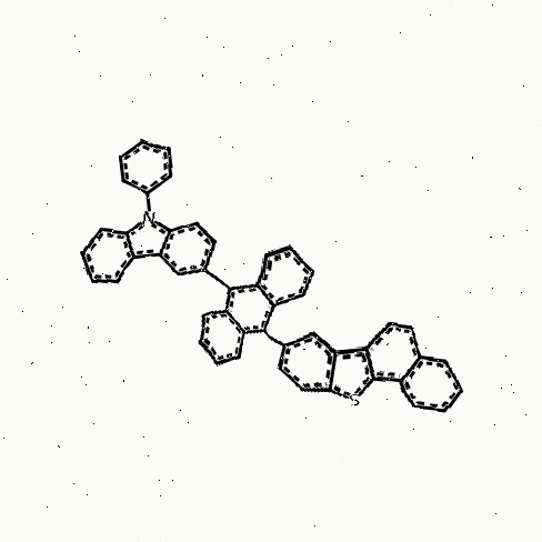 c1ccc(-n2c3ccccc3c3cc(-c4c5ccccc5c(-c5ccc6sc7c8ccccc8ccc7c6c5)c5ccccc45)ccc32)cc1